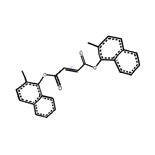 Cc1ccc2ccccc2c1OC(=O)/C=C/C(=O)Oc1c(C)ccc2ccccc12